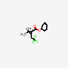 CC1(C)C(CC(Cl)(Cl)Cl)C1C(=O)OC1CCCCC1